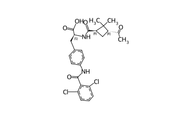 CC(=O)[C@@H]1C[C@@H](C(=O)N[C@@H](Cc2ccc(NC(=O)c3c(Cl)cccc3Cl)cc2)C(=O)O)C1(C)C